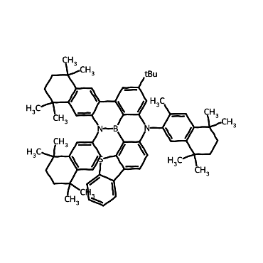 Cc1cc2c(cc1N1c3cc(C(C)(C)C)cc4c3B(c3c1ccc1c3sc3ccccc31)N(c1ccc3c(c1)C(C)(C)CCC3(C)C)c1cc3c(cc1-4)C(C)(C)CCC3(C)C)C(C)(C)CCC2(C)C